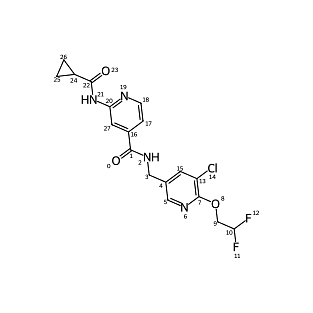 O=C(NCc1cnc(OCC(F)F)c(Cl)c1)c1ccnc(NC(=O)C2CC2)c1